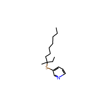 CCCCCCCC(C)(CC)Sc1cccnc1